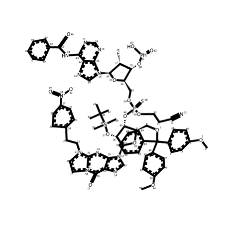 COc1ccc(C(OC[C@H]2O[C@@H](n3cnc4c(=O)n5ccn(CCc6ccc([N+](=O)[O-])cc6)c5nc43)[C@H](O[Si](C)(C)C(C)(C)C)[C@@H]2OP(=S)(OCCC#N)OC[C@H]2O[C@@H](n3cnc4c(NC(=O)c5ccccc5)ncnc43)[C@H](F)[C@@H]2O[PH](=O)O)(c2ccccc2)c2ccc(OC)cc2)cc1